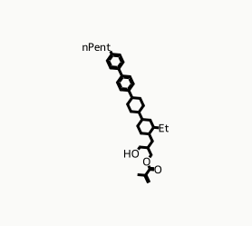 C=C(C)C(=O)OCC(CO)CC1CCC(C2CCC(c3ccc(-c4ccc(CCCCC)cc4)cc3)CC2)CC1CC